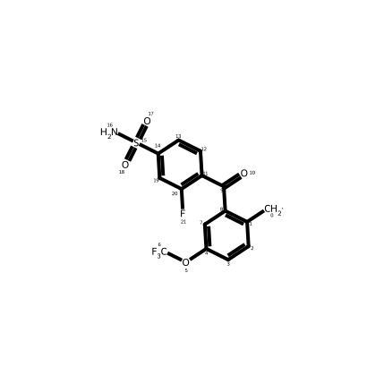 [CH2]c1ccc(OC(F)(F)F)cc1C(=O)c1ccc(S(N)(=O)=O)cc1F